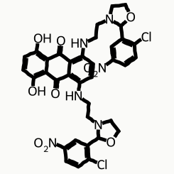 O=C1c2c(O)ccc(O)c2C(=O)c2c(NCCN3CCOC3c3cc([N+](=O)[O-])ccc3Cl)ccc(NCCN3CCOC3c3cc([N+](=O)[O-])ccc3Cl)c21